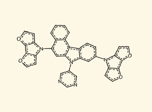 c1ccc2c(c1)c(-n1c3ccoc3c3occc31)cc1c2c2ccc(-n3c4ccoc4c4occc43)cc2n1-c1cncnc1